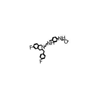 COCCNc1ccc(CNCCN2Cc3ccc(F)cc3CC2Cc2ccc(F)cc2)cc1